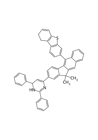 CC1(C)c2cc(C3=CC(c4ccccc4)NC(c4ccccc4)=N3)ccc2-c2c1cc1ccccc1c2-c1ccc2c3c(sc2c1)C=CCC3